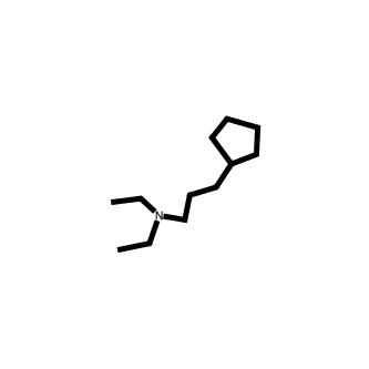 CCN(CC)CCCC1CCCC1